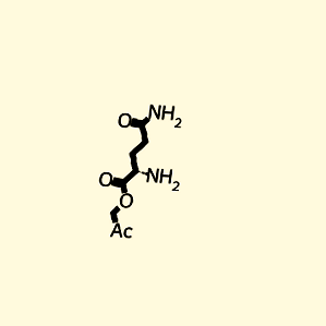 CC(=O)COC(=O)[C@@H](N)CCC(N)=O